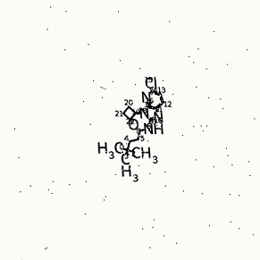 CC(C)(C)CCC(=O)Nc1nc2ccc(Cl)nc2n1C1CCC1